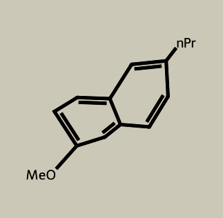 CCCc1ccc2cc(OC)ccc2c1